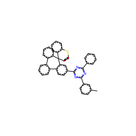 Cc1cccc(-c2nc(-c3ccccc3)nc(-c3ccc4c(c3)C3(c5ccccc5Sc5ccccc53)c3ccccc3-c3ccccc3-4)n2)c1